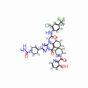 CNC(=O)N1CC=C(c2nc3n(CC(=O)Nc4ccc(C(F)(F)F)cc4Cl)c4c(c(=O)n3n2)C2(CCC4)CCN(C(=O)c3ncccc3O)CC2)CC1